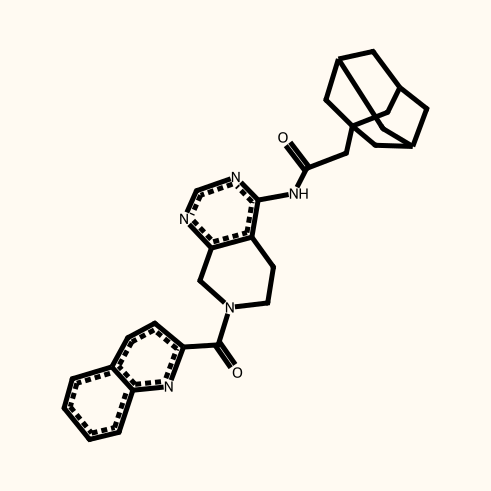 O=C(CC12CC3CC(CC(C3)C1)C2)Nc1ncnc2c1CCN(C(=O)c1ccc3ccccc3n1)C2